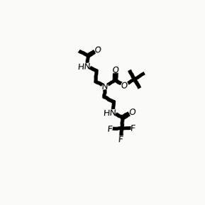 CC(=O)NCCN(CCNC(=O)C(F)(F)F)C(=O)OC(C)(C)C